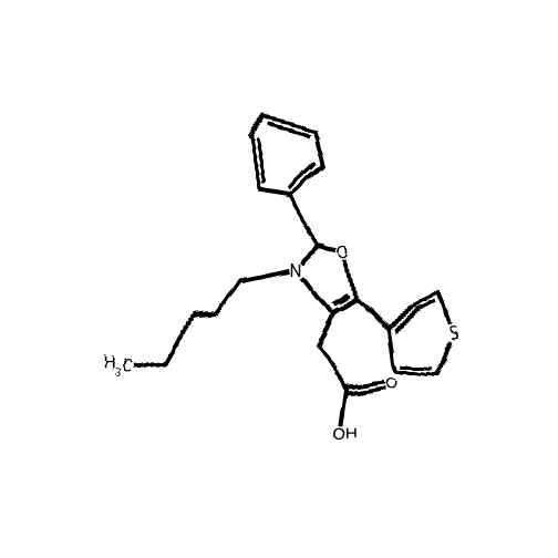 CCCCCN1C(CC(=O)O)=C(c2ccsc2)OC1c1ccccc1